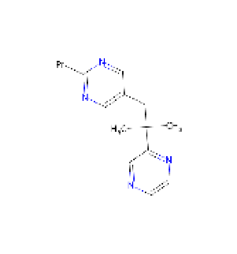 CC(C)c1ncc(CC(C)(C)c2cnccn2)cn1